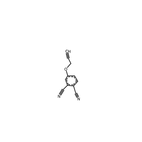 C#CCOc1ccc(C#N)c(C#N)c1